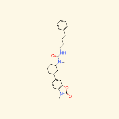 CN(C(=O)NCCCCc1ccccc1)C1CCCC(c2ccc3c(c2)oc(=O)n3C)C1